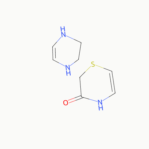 C1=CNCCN1.O=C1CSC=CN1